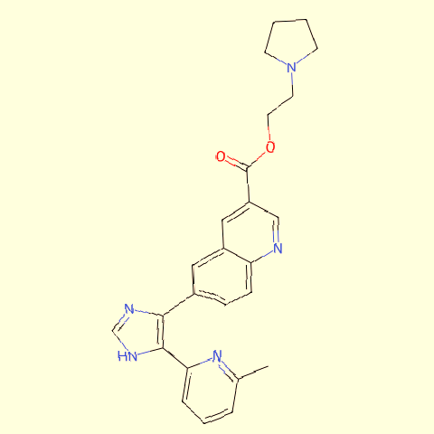 Cc1cccc(-c2[nH]cnc2-c2ccc3ncc(C(=O)OCCN4CCCC4)cc3c2)n1